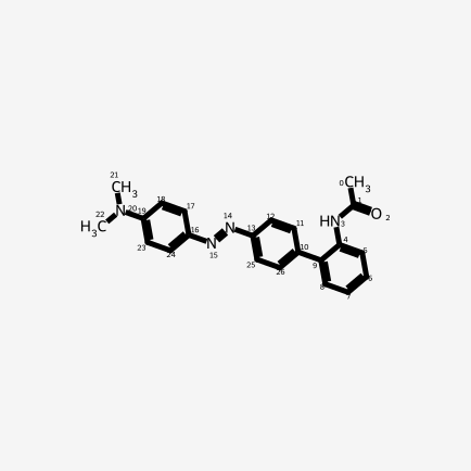 CC(=O)Nc1ccccc1-c1ccc(/N=N/c2ccc(N(C)C)cc2)cc1